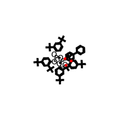 CC(C)(C)c1ccc(OP(Oc2ccc(C(C)(C)C)cc2C(C)(C)C)O[PH](Oc2ccc(C(C)(C)C)cc2C(C)(C)C)(Oc2ccc(C(C)(C)C)cc2C(C)(C)C)c2ccc(-c3ccccc3)cc2)c(C(C)(C)C)c1